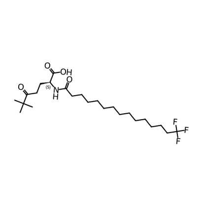 CC(C)(C)C(=O)CC[C@H](NC(=O)CCCCCCCCCCCCCC(F)(F)F)C(=O)O